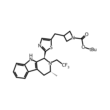 C[C@@H]1Cc2c([nH]c3ccccc23)[C@@H](c2ncc(CC3CN(C(=O)OC(C)(C)C)C3)s2)N1CC(F)(F)F